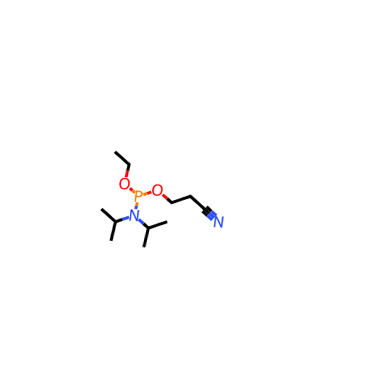 CCOP(OCCC#N)N(C(C)C)C(C)C